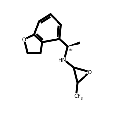 C[C@@H](NC1OC1C(F)(F)F)c1cccc2c1CCO2